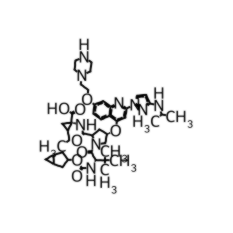 CCC1C[C@]1(NC(=O)C1C[C@@H](Oc2cc(-n3ccc(NC(C)C)n3)nc3cc(OCCN4CCNCC4)ccc23)CN1C(=O)[C@@H](NC(=O)OC1CC2CC2C1)C(C)(C)C)C(=O)O